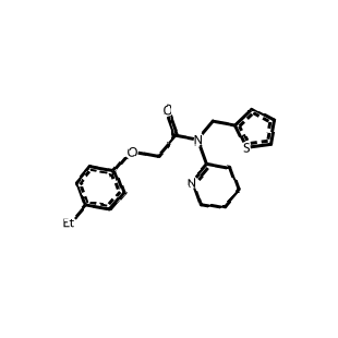 CCc1ccc(OCC(=O)N(Cc2cccs2)C2=NCCCC2)cc1